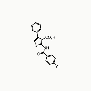 O=C(Nc1scc(-c2ccccc2)c1C(=O)O)c1ccc(Cl)cc1